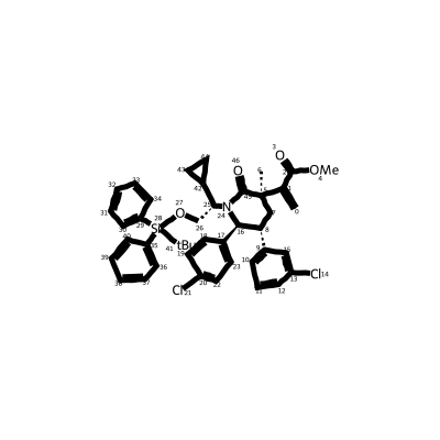 C=C(C(=O)OC)[C@@]1(C)C[C@H](c2cccc(Cl)c2)[C@@H](c2ccc(Cl)cc2)N([C@H](CO[Si](c2ccccc2)(c2ccccc2)C(C)(C)C)C2CC2)C1=O